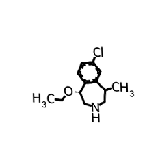 CCO[C@H]1CNCC(C)c2cc(Cl)ccc21